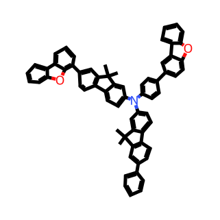 CC1(C)c2cc(-c3ccccc3)ccc2-c2ccc(N(c3ccc(-c4ccc5oc6ccccc6c5c4)cc3)c3ccc4c(c3)C(C)(C)c3cc(-c5cccc6c5oc5ccccc56)ccc3-4)cc21